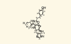 CC[C@H](C)[C@H](NC(=O)CCc1ccc(O)cc1)C(=O)NC(Cc1c[nH]cn1)C(N)=O